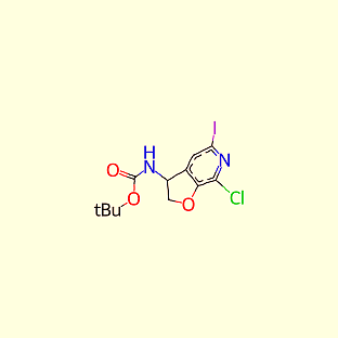 CC(C)(C)OC(=O)NC1COc2c1cc(I)nc2Cl